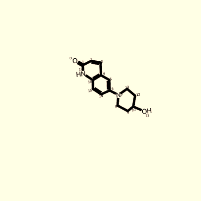 O=c1ccc2cc(N3CCC(O)CC3)ccc2[nH]1